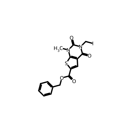 Cn1c(=O)n(CI)c(=O)c2cc(C(=O)OCc3ccccc3)sc21